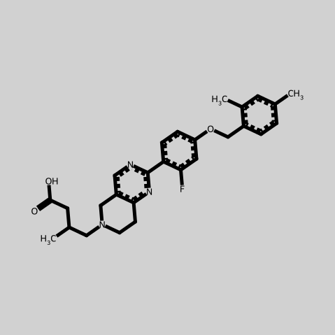 Cc1ccc(COc2ccc(-c3ncc4c(n3)CCN(CC(C)CC(=O)O)C4)c(F)c2)c(C)c1